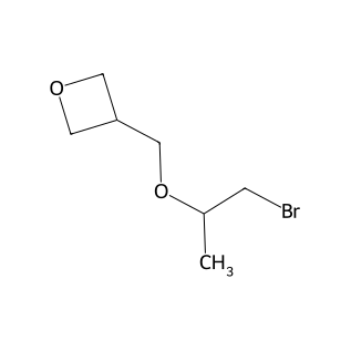 CC(CBr)OCC1COC1